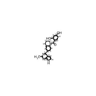 Cc1nc(-c2ccc3c(c2)CCCN3C(=O)c2ccc(O)cc2O)c2cc[nH]c2n1